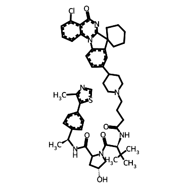 Cc1ncsc1-c1ccc([C@H](C)NC(=O)C2C[C@@H](O)CN2C(=O)[C@@H](NC(=O)CCCN2CCC(c3ccc4c(c3)C3(CCCCC3)c3nc(=O)c5c(Cl)cccc5n3-4)CC2)C(C)(C)C)cc1